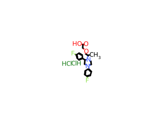 CC(COCC(=O)O)N1CCN(c2ccc(F)cc2)CC1c1ccc(F)cc1.Cl.Cl